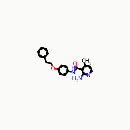 Cc1ccnc(N)c1C(=O)Nc1ccc(OCCc2ccccc2)cc1